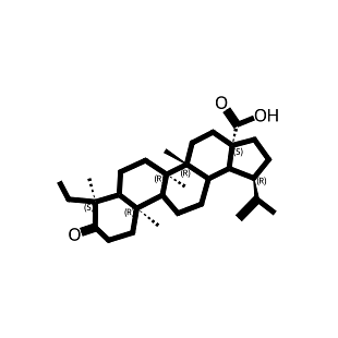 C=C(C)[C@@H]1CC[C@]2(C(=O)O)CC[C@]3(C)C(CCC4[C@@]5(C)CCC(=O)[C@@](C)(CC)C5CC[C@]43C)C12